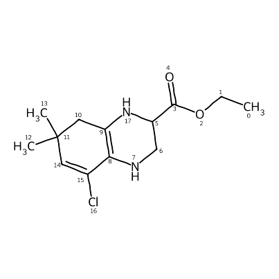 CCOC(=O)C1CNC2=C(CC(C)(C)C=C2Cl)N1